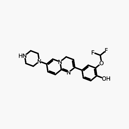 Oc1ccc(C2=CCN3C=C(N4CCNCC4)C=CC3=N2)cc1OC(F)F